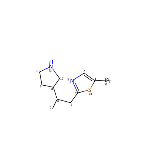 CC(C)c1cnc(CC(C)C2CCNC2)s1